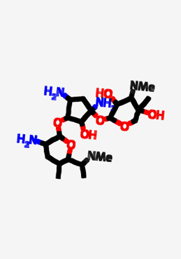 CNC(C)C1OC(OC2C(N)CC(N)(OC3OCC(C)(O)C(NC)C3O)C2O)C(N)CC1C